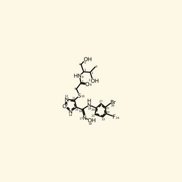 CC(O)C(CO)NC(=O)CSc1nonc1/C(=N/O)Nc1ccc(F)c(Br)c1